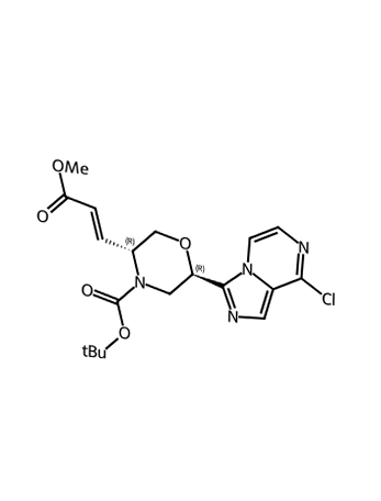 COC(=O)C=C[C@@H]1CO[C@@H](c2ncc3c(Cl)nccn23)CN1C(=O)OC(C)(C)C